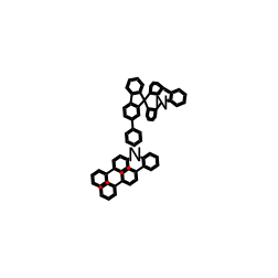 c1ccc(-c2ccc(-c3ccccc3N(c3ccc(-c4ccccc4)cc3)c3ccc(-c4ccc5c(c4)C4(c6ccccc6-5)c5ccccc5-n5c6ccccc6c6cccc4c65)cc3)cc2)cc1